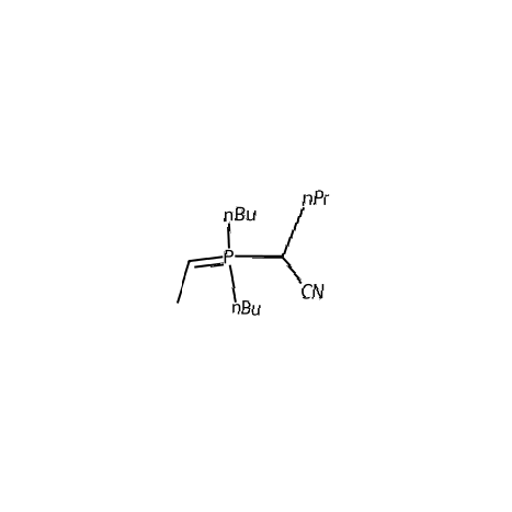 CC=P(CCCC)(CCCC)C(C#N)CCC